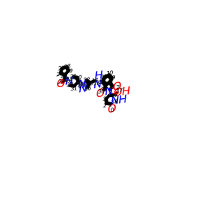 O=C1CCC(N2C(=O)c3cccc(NCc4cnn(C5CCN(C(=O)C6CCCC6)CC5)c4)c3C2=O)C(O)N1